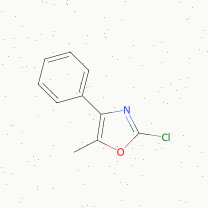 Cc1oc(Cl)nc1-c1ccccc1